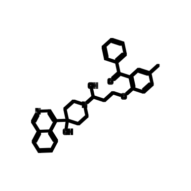 Cc1ccc(OCCC(O)N2CCC(O)(c3cncc4ccccc34)CC2)c(C(=O)c2ccccc2)c1